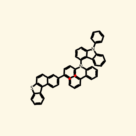 c1ccc(-c2ccccc2N(c2ccc(-c3ccc4c(ccc5sc6ccccc6c54)c3)cc2)c2cccc3c2c2ccccc2n3-c2ccccc2)cc1